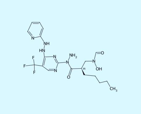 CCCCC[C@H](CN(O)C=O)C(=O)N(N)c1ncc(C(F)(F)F)c(NNc2ccccn2)n1